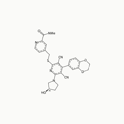 CNC(=O)c1cc(CSc2nc(N3CC[C@@H](O)C3)c(C#N)c(-c3ccc4c(c3)OCCO4)c2C#N)ccn1